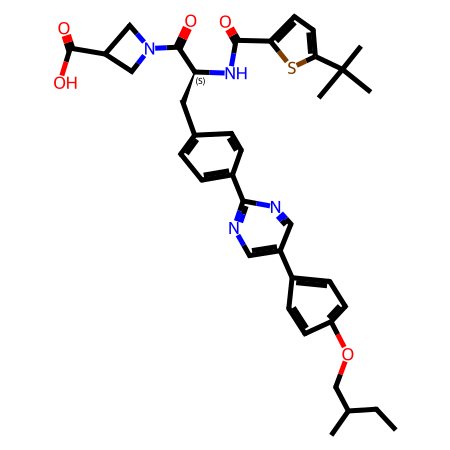 CCC(C)COc1ccc(-c2cnc(-c3ccc(C[C@H](NC(=O)c4ccc(C(C)(C)C)s4)C(=O)N4CC(C(=O)O)C4)cc3)nc2)cc1